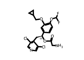 NCC(=O)O[C@@H](Cc1c(Cl)cncc1Cl)c1ccc(OC(F)F)c(OCC2CC2)c1